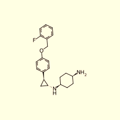 N[C@H]1CC[C@@H](N[C@@H]2C[C@H]2c2ccc(OCc3ccccc3F)cc2)CC1